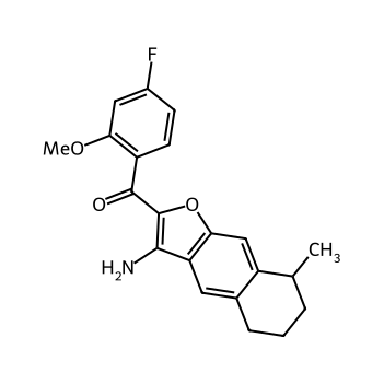 COc1cc(F)ccc1C(=O)c1oc2cc3c(cc2c1N)CCCC3C